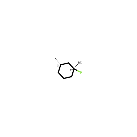 CC[C@]1(F)CCC[C@H](C)C1